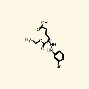 CCOC(=O)/C(=C\CCC(=O)O)NNc1cccc(Br)c1